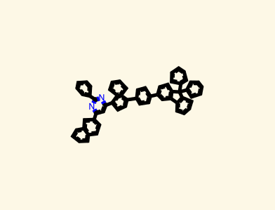 c1ccc(-c2nc(-c3ccc4ccccc4c3)cc(-c3ccc(-c4ccc(-c5ccc6c(c5)-c5ccccc5C6(c5ccccc5)c5ccccc5)cc4)c4ccccc34)n2)cc1